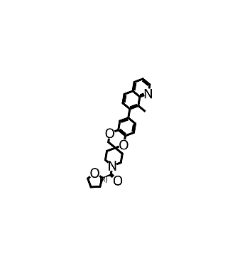 Cc1c(-c2ccc3c(c2)OCC2(CCN(C(=O)[C@H]4CCCO4)CC2)O3)ccc2cccnc12